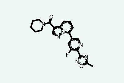 Cc1nc(-c2ncc(-c3cccc4c(C(=O)N5CCCCC5)cnn34)cc2F)no1